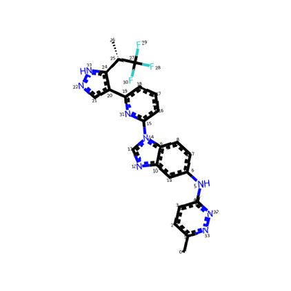 Cc1ccc(Nc2ccc3c(c2)ncn3-c2cc[c]c(-c3cn[nH]c3[C@H](C)C(F)(F)F)n2)nn1